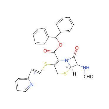 O=CNC1C(=O)N2C(C(=O)OC(c3ccccc3)c3ccccc3)=C(S/C=C/c3ccccn3)CS[C@H]12